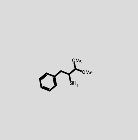 COC(OC)C([SiH3])Cc1ccccc1